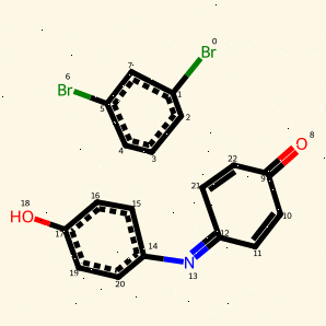 Brc1cccc(Br)c1.O=C1C=CC(=Nc2ccc(O)cc2)C=C1